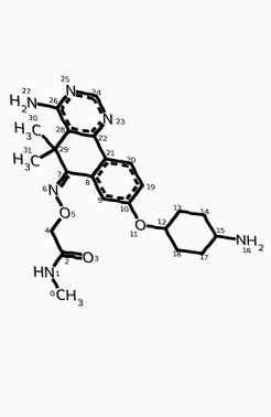 CNC(=O)CO/N=C1\c2cc(OC3CCC(N)CC3)ccc2-c2ncnc(N)c2C1(C)C